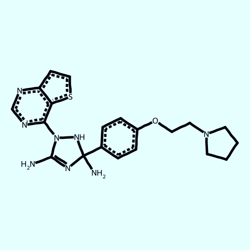 NC1=NC(N)(c2ccc(OCCN3CCCC3)cc2)NN1c1ncnc2ccsc12